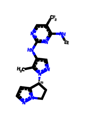 CCNc1nc(Nc2cnn([C@@H]3CCn4nccc43)c2C)ncc1C(F)(F)F